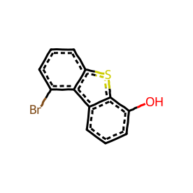 Oc1cccc2c1sc1cccc(Br)c12